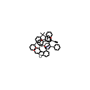 C#Cc1c(/C=C(\C)c2cccc3oc4cccc(N(C5=CC=C(c6ccccc6)CC5)c5c(-c6ccccc6)ccc6c5-c5ccccc5C6(C)C)c4c23)n(-c2ccccc2)c2ccccc12